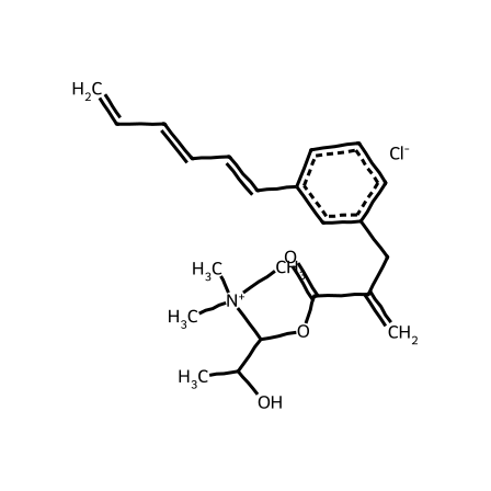 C=CC=CC=Cc1cccc(CC(=C)C(=O)OC(C(C)O)[N+](C)(C)C)c1.[Cl-]